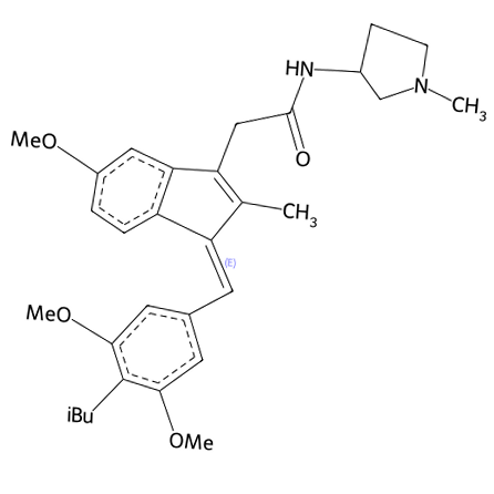 CCC(C)c1c(OC)cc(/C=C2/C(C)=C(CC(=O)NC3CCN(C)C3)c3cc(OC)ccc32)cc1OC